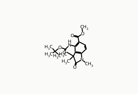 CCC1(C)C(=O)N(C)c2ccc(C(=O)OC)c(NC(=O)OC(C)(C)C)c21